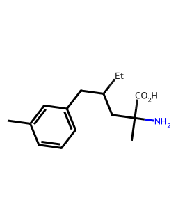 CCC(Cc1cccc(C)c1)CC(C)(N)C(=O)O